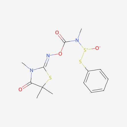 CN1C(=O)C(C)(C)SC1=NOC(=O)N(C)[S+]([O-])Sc1ccccc1